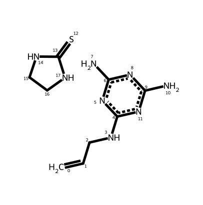 C=CCNc1nc(N)nc(N)n1.S=C1NCCN1